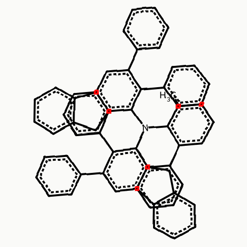 Cc1cccc(-c2ccccc2)c1N(c1c2c(cc(-c3ccccc3)c1-c1ccccc1)-c1ccccc1C2)c1c2c(cc(-c3ccccc3)c1-c1ccccc1)-c1ccccc1C2